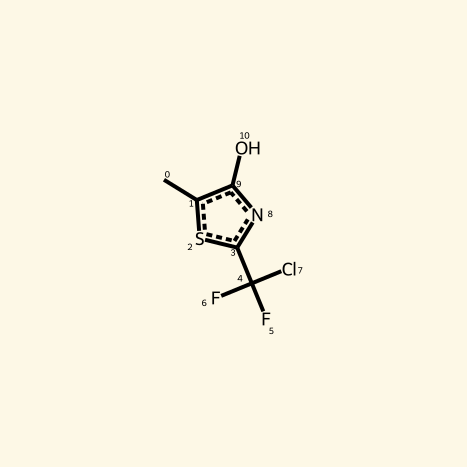 Cc1sc(C(F)(F)Cl)nc1O